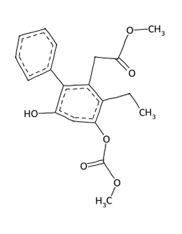 CCc1c(OC(=O)OC)cc(O)c(-c2ccccc2)c1CC(=O)OC